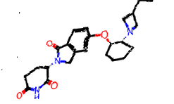 O=C1CC[C@H](N2Cc3cc(O[C@@H]4CCCC[C@H]4N4CC(c5ccncc5Cl)C4)ccc3C2=O)C(=O)N1